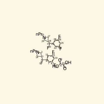 CCCN1CC(C(F)c2cc(F)cc(F)c2)C1.CCCN1CC(C(F)c2cc(F)cc(F)c2)C1.O=C(O)C(=O)O